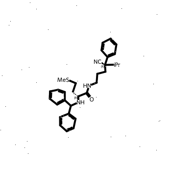 CSCC[C@@H](NC(c1ccccc1)c1ccccc1)C(=O)NCCC[C@](C#N)(c1ccccc1)C(C)C